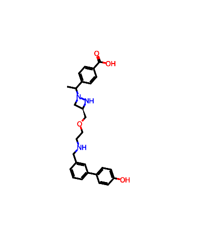 CC(c1ccc(C(=O)O)cc1)N1C[C@H](COCCNCc2cccc(-c3ccc(O)cc3)c2)N1